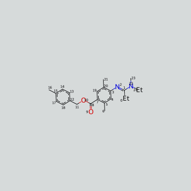 CC/C(=N\c1cc(C)c(C(=O)OCc2ccc(C)cc2)cc1C)N(C)CC